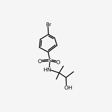 CC(O)C(C)(C)NS(=O)(=O)c1ccc(Br)cc1